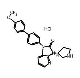 Cl.O=c1n(-c2ccc(-c3ccc(OC(F)(F)F)cc3)cc2)c2cccnc2n1[C@H]1CCNC1